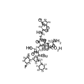 CC(C)(C)[C@H](c1cc(-c2cc(F)ccc2F)cn1Cc1ccccc1)N(CC[C@H](NC(=O)[C@H](CC(N)=O)N(C(=O)O)C(C)(C)C)C(=O)NCCNC(=O)CN1C(=O)C=CC1=O)C(=O)CO